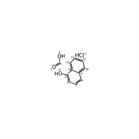 Cl.O=CO.Oc1cccc2ccccc12